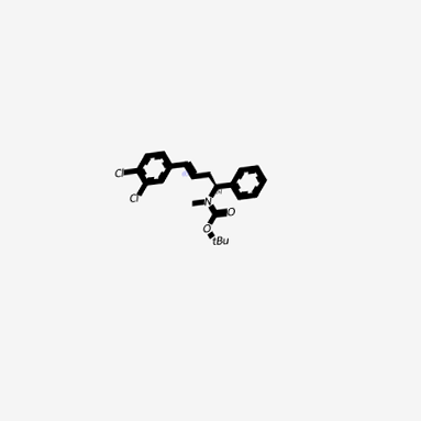 CN(C(=O)OC(C)(C)C)[C@@H](C/C=C/c1ccc(Cl)c(Cl)c1)c1ccccc1